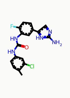 Cc1ccc(NC(=O)Nc2cc(-c3cnc(N)[nH]3)ccc2F)cc1Cl